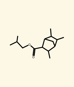 CC(C)COC(=O)C1C(C)C2CC1C(C)C2C